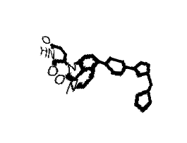 O=C1CCC(N2C(=O)c3nccc4c(C5CCC(C6CCC(CC7CCCC7)C6)CC5)ccc2c34)C(=O)N1